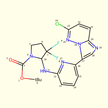 CC(C)(C)OC(=O)N1CCC(F)(F)C1Nc1cccc(-c2cnc3ccc(Cl)nn23)n1